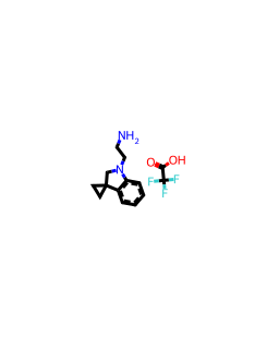 NCCN1CC2(CC2)c2ccccc21.O=C(O)C(F)(F)F